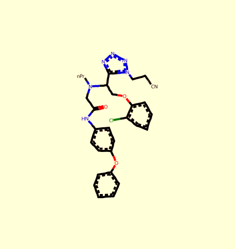 CCCN(CC(=O)Nc1ccc(Oc2ccccc2)cc1)C(COc1ccccc1Cl)c1nnnn1CCC#N